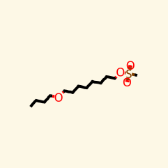 CCCCOCCCCCCCCOS(C)(=O)=O